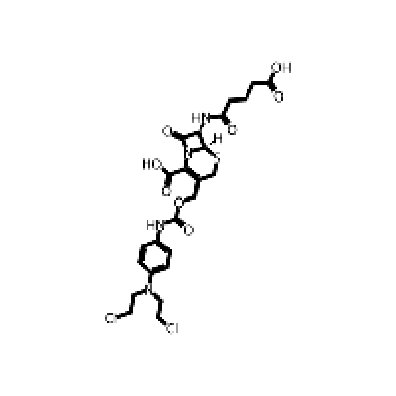 O=C(O)CCCC(=O)N[C@@H]1C(=O)N2C(C(=O)O)=C(COC(=O)Nc3ccc(N(CCCl)CCCl)cc3)CS[C@H]12